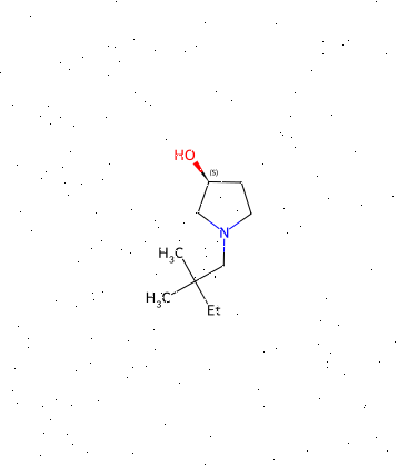 CCC(C)(C)CN1CC[C@H](O)C1